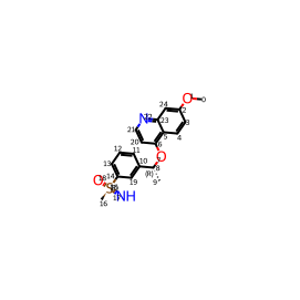 COc1ccc2c(O[C@H](C)c3cccc([S@](C)(=N)=O)c3)ccnc2c1